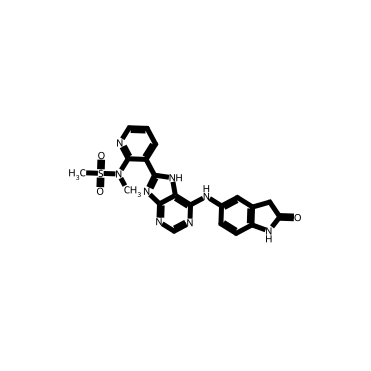 CN(c1ncccc1-c1nc2ncnc(Nc3ccc4c(c3)CC(=O)N4)c2[nH]1)S(C)(=O)=O